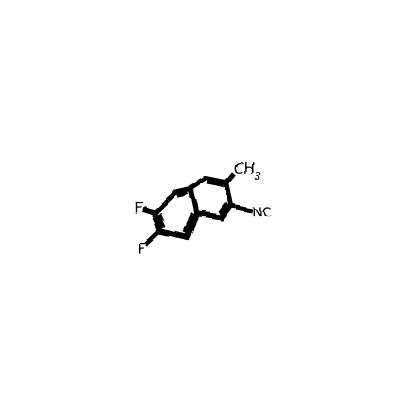 [C-]#[N+]c1cc2cc(F)c(F)cc2cc1C